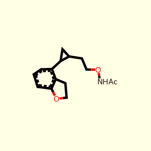 CC(=O)NOCCC1CC1c1cccc2c1CCO2